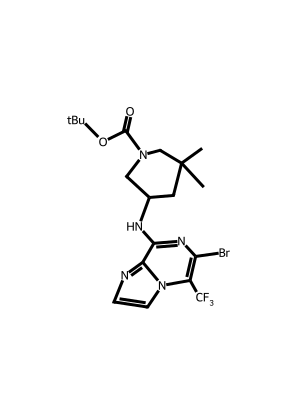 CC1(C)CC(Nc2nc(Br)c(C(F)(F)F)n3ccnc23)CN(C(=O)OC(C)(C)C)C1